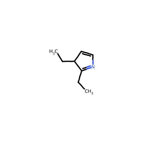 CCC1=NC=CC1CC